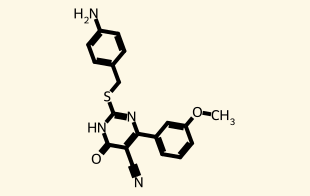 COc1cccc(-c2nc(SCc3ccc(N)cc3)[nH]c(=O)c2C#N)c1